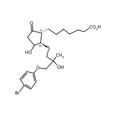 CC(O)(COc1ccc(Br)cc1)CS[C@H]1C(O)CC(=O)[C@@H]1CCCCCCC(=O)O